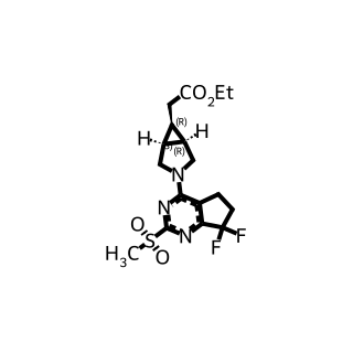 CCOC(=O)C[C@H]1[C@H]2CN(c3nc(S(C)(=O)=O)nc4c3CCC4(F)F)C[C@@H]12